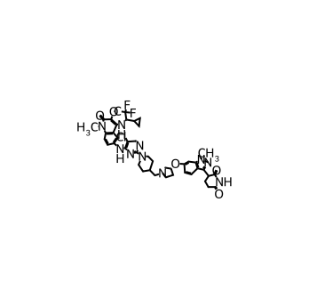 Cn1nc(C2CCC(=O)NC2=O)c2ccc(OC3CCN(CC4CCN(c5ncc(Cl)c(Nc6ccc7c(c6)c6c(c(=O)n7C)OCC(F)(F)C(C7CC7)N6)n5)CC4)C3)cc21